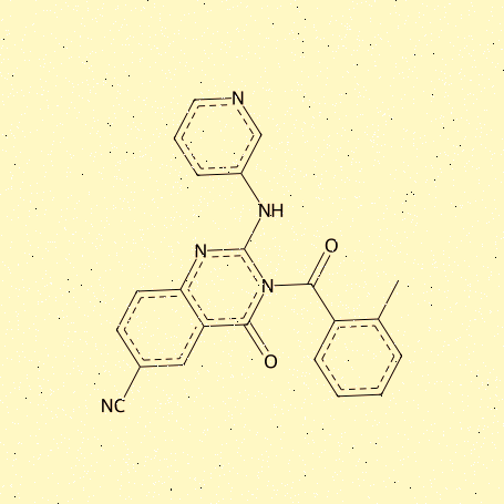 Cc1ccccc1C(=O)n1c(Nc2cccnc2)nc2ccc(C#N)cc2c1=O